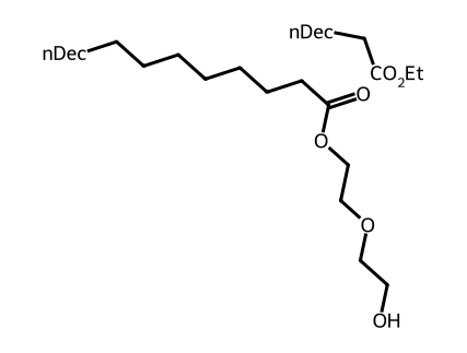 CCCCCCCCCCCC(=O)OCC.CCCCCCCCCCCCCCCCCC(=O)OCCOCCO